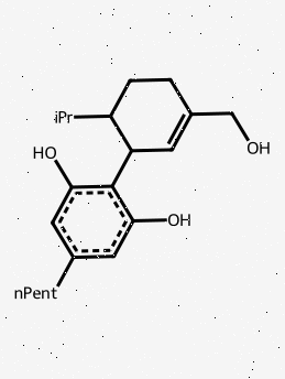 CCCCCc1cc(O)c(C2C=C(CO)CCC2C(C)C)c(O)c1